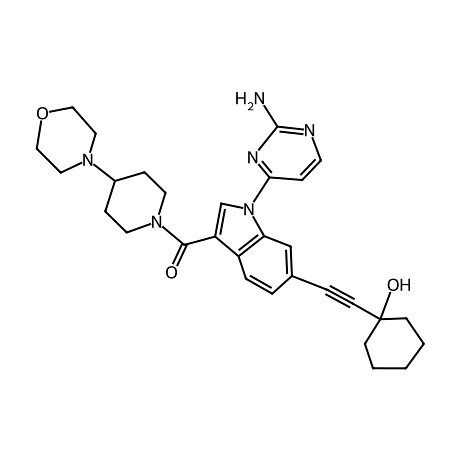 Nc1nccc(-n2cc(C(=O)N3CCC(N4CCOCC4)CC3)c3ccc(C#CC4(O)CCCCC4)cc32)n1